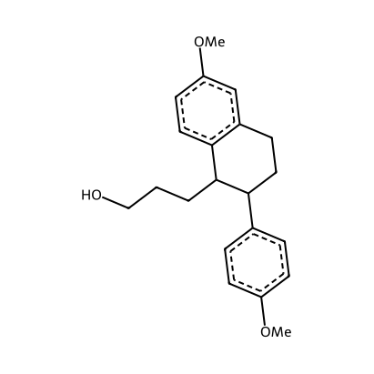 COc1ccc(C2CCc3cc(OC)ccc3C2CCCO)cc1